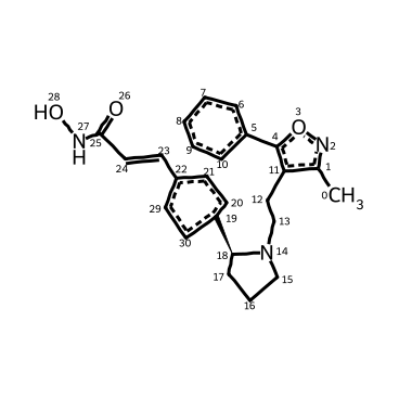 Cc1noc(-c2ccccc2)c1CCN1CCC[C@H]1c1ccc(C=CC(=O)NO)cc1